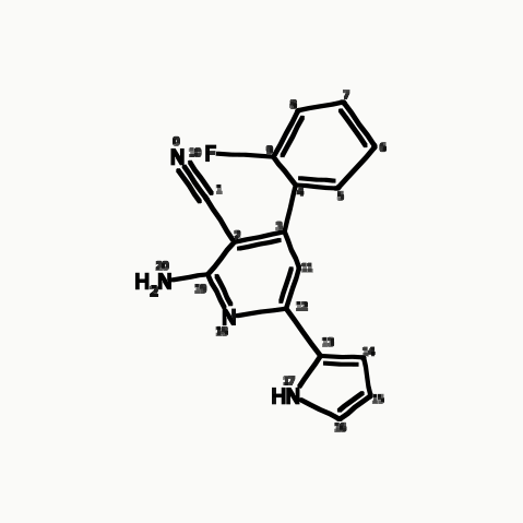 N#Cc1c(-c2ccccc2F)cc(-c2ccc[nH]2)nc1N